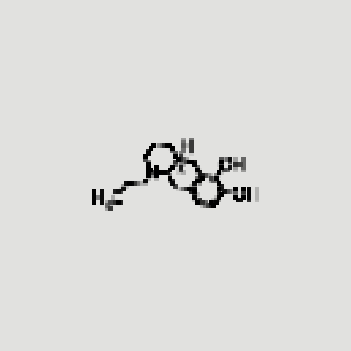 CCCN1CCC[C@H]2Cc3c(ccc(O)c3O)CC21